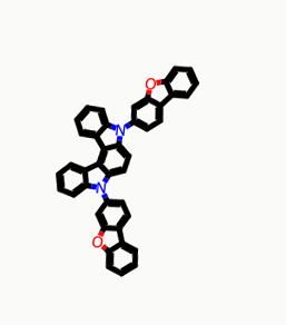 c1ccc2c(c1)oc1cc(-n3c4ccccc4c4c5c6ccccc6n(-c6ccc7c(c6)oc6ccccc67)c5ccc43)ccc12